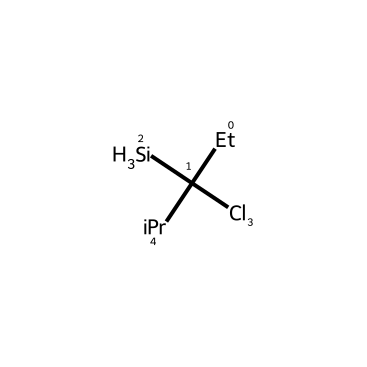 CCC([SiH3])(Cl)C(C)C